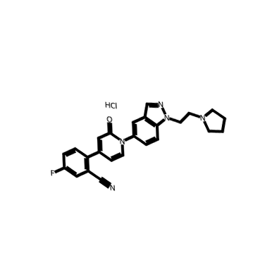 Cl.N#Cc1cc(F)ccc1-c1ccn(-c2ccc3c(cnn3CCN3CCCC3)c2)c(=O)c1